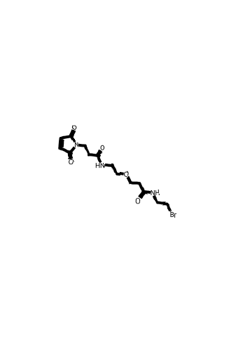 O=C(CCOCCNC(=O)CCN1C(=O)C=CC1=O)NCCBr